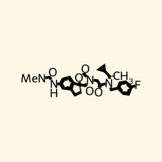 CNC(=O)Nc1ccc2c(c1)CC[C@]21OC(=O)N(CC(=O)N(Cc2ccc(F)cc2)[C@@H](C)C2CC2)C1=O